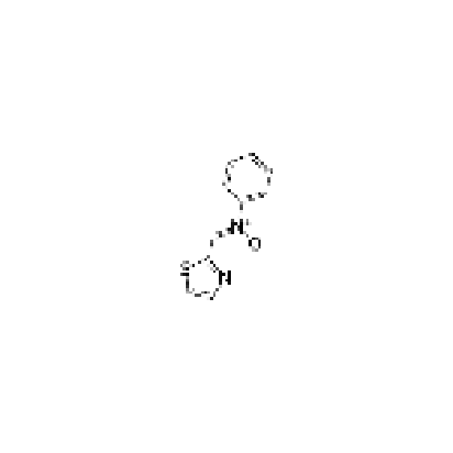 [O-][N+](=Cc1nccs1)c1ccccc1